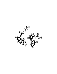 CCCCCOC(=O)COc1cc(N2C(=O)C3=C(CCCC3)C2=O)c(F)cc1Cl.O=C(O)CSc1cc(N=c2sc(=O)n3n2CCCC3)c(F)cc1Cl